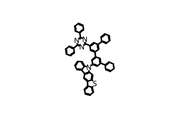 C1=CC(c2cc(-c3cc(-c4ccccc4)cc(-c4nc(-c5ccccc5)nc(-c5ccccc5)n4)c3)cc(-n3c4ccccc4c4cc5c(cc43)sc3ccccc35)c2)=CCC1